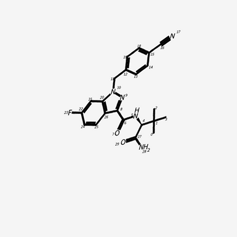 CC(C)(C)[C@H](NC(=O)c1nn(Cc2ccc(C#N)cc2)c2cc(F)ccc12)C(N)=O